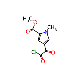 COC(=O)c1cc(C(=O)C(=O)Cl)cn1C